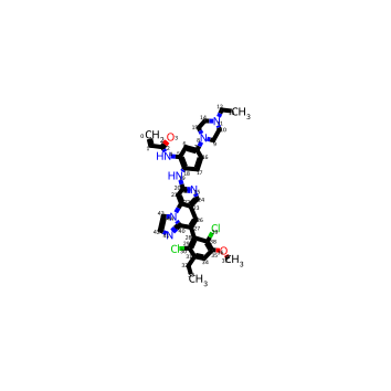 C=CC(=O)Nc1cc(N2CCN(CC)CC2)ccc1Nc1cc2c(cn1)cc(-c1c(Cl)c(CC)cc(OC)c1Cl)c1nccn12